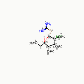 Br.COC[C@H]1O[C@H](SC(=N)N)[C@@H](OC(C)=O)[C@@H](OC(C)=O)[C@@H]1OC(C)=O